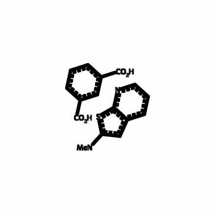 CNc1cc2cccnc2s1.O=C(O)c1cccc(C(=O)O)c1